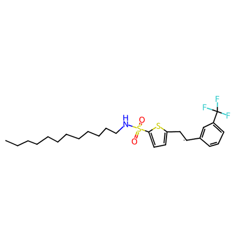 CCCCCCCCCCCCNS(=O)(=O)c1ccc(C[CH]c2cccc(C(F)(F)F)c2)s1